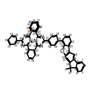 CC1(C)c2ccccc2-c2cc3c(cc21)oc1c(-c2ccc(-c4nc(-c5ccccc5)nc(-c5ccccc5-c5nc(-c6ccccc6)nc(-c6ccccc6)n5)n4)cc2)cccc13